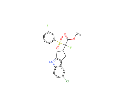 COC(=O)C(F)(C1Cc2[nH]c3ccc(Cl)cc3c2C1)S(=O)(=O)c1cccc(F)c1